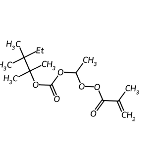 C=C(C)C(=O)OOC(C)OC(=O)OC(C)(C)C(C)(C)CC